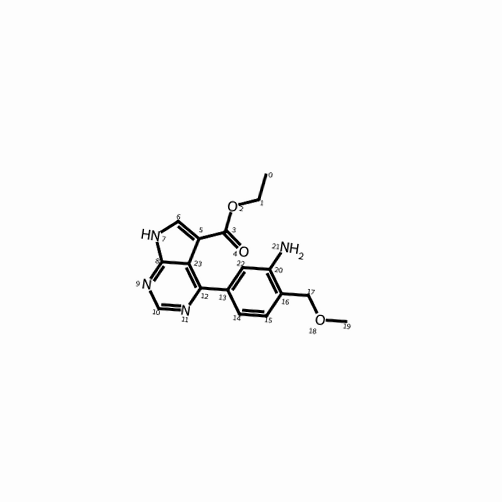 CCOC(=O)c1c[nH]c2ncnc(-c3ccc(COC)c(N)c3)c12